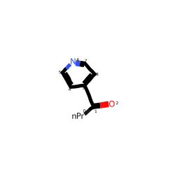 CCCC(=O)c1ccncc1